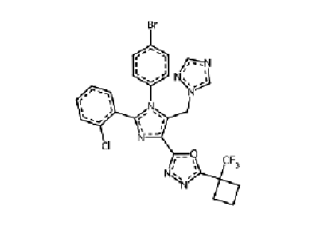 FC(F)(F)C1(c2nnc(-c3nc(-c4ccccc4Cl)n(-c4ccc(Br)cc4)c3Cn3cncn3)o2)CCC1